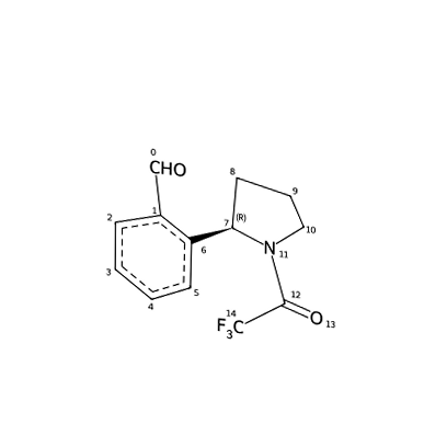 O=Cc1ccccc1[C@H]1CCCN1C(=O)C(F)(F)F